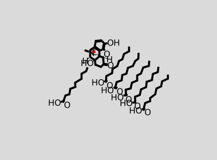 CCCCCCCCCC(=O)O.CCCCCCCCCC(=O)O.CCCCCCCCCC(=O)O.CCCCCCCCCC(=O)O.CCCCCCCCCC(=O)O.CCCCCCCCCC(=O)O.CN1CC[C@]23c4c5ccc(O)c4O[C@H]2C(=O)CC[C@@]3(O)[C@H]1C5